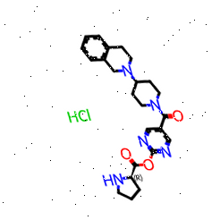 Cl.O=C(Oc1ncc(C(=O)N2CCC(N3CCc4ccccc4C3)CC2)cn1)[C@H]1CCCN1